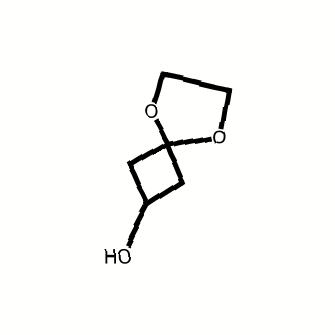 OC1CC2(C1)OCCO2